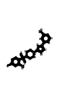 O=S(=O)(c1ccc(F)cc1Cl)C1CCN(c2nc(-c3cccc(Br)c3)cs2)CC1